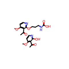 COc1ccnc(O)c1C(C)=O.COc1ccnc(OCCCNC(=O)O)c1C(C)=O